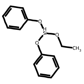 CCO[SiH](Oc1ccccc1)Oc1ccccc1